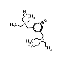 CC[N+](CC)(CC)Cc1cccc(C[N+](CC)(CC)CC)c1.[Br-].[Br-]